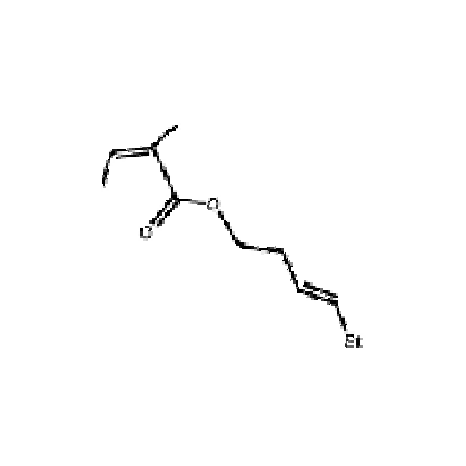 C/C=C(/C)C(=O)OCCC=CCC